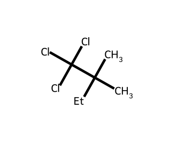 CCC(C)(C)C(Cl)(Cl)Cl